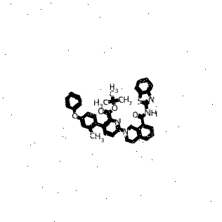 Cc1cc(Oc2ccccc2)ccc1-c1ccc(N2CCc3cccc(C(=O)Nc4nc5ccccc5s4)c3C2)nc1C(=O)OC(C)(C)C